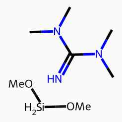 CN(C)C(=N)N(C)C.CO[SiH2]OC